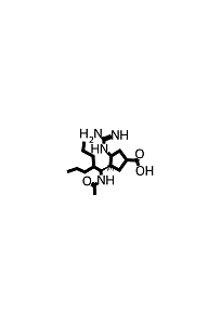 CCCC(CCC)C(NC(C)=O)[C@@H]1CC(C(=O)O)CC1NC(=N)N